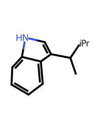 CC(C)C(C)c1c[nH]c2ccccc12